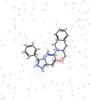 OCC1Cc2ccccc2CN1c1ccc2nnc(-c3ccccc3)n2n1